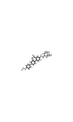 CCCc1ccc(-c2ccc(-c3ccc(CCC(CO)CO)cc3CC)c(F)c2)cc1